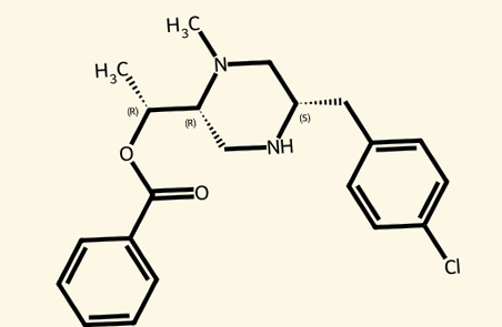 C[C@@H](OC(=O)c1ccccc1)[C@H]1CN[C@@H](Cc2ccc(Cl)cc2)CN1C